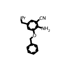 CC(C)Cc1cc(C#N)c(N)c(OCc2ccccc2)c1